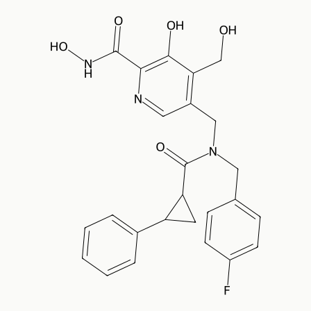 O=C(NO)c1ncc(CN(Cc2ccc(F)cc2)C(=O)C2CC2c2ccccc2)c(CO)c1O